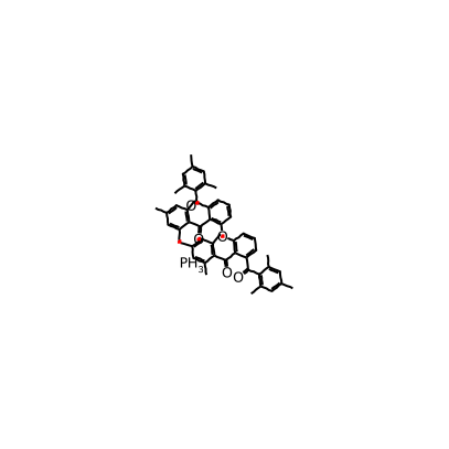 Cc1cc(C)c(C(=O)c2cccc(Oc3cccc(C(=O)c4c(C)cc(C)cc4C)c3C(=O)c3c(C)cc(C)cc3C)c2C(=O)c2c(C)cc(C)cc2C)c(C)c1.P